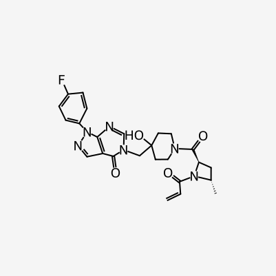 C=CC(=O)N1[C@@H](C(=O)N2CCC(O)(Cn3cnc4c(cnn4-c4ccc(F)cc4)c3=O)CC2)C[C@@H]1C